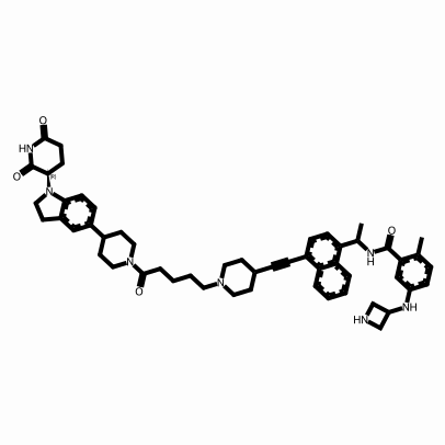 Cc1ccc(NC2CNC2)cc1C(=O)NC(C)c1ccc(C#CC2CCN(CCCCC(=O)N3CCC(c4ccc5c(c4)CCN5[C@@H]4CCC(=O)NC4=O)CC3)CC2)c2ccccc12